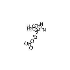 CC(C)(C)C1=CC(=C(C#N)C#N)C=C(/C=C/c2ccc(-c3ccc(N(c4ccccc4)c4ccccc4)cc3)s2)O1